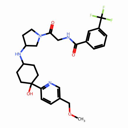 COCc1ccc(C2(O)CCC(NC3CCN(C(=O)CNC(=O)c4cccc(C(F)(F)F)c4)C3)CC2)nc1